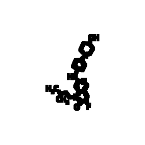 CC(C)CCn1c(=O)c(F)cc2cnc(Nc3ccc(N4CCC(O)CC4)cc3)cc21